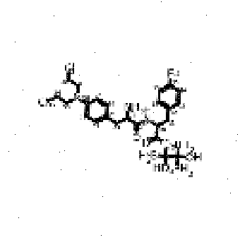 BC(B)(O)C(B)(O)OC(=O)C(Cc1ccc(F)cc1)NC(=O)C(N)Cc1ccc(N(CCCl)CCCl)cc1